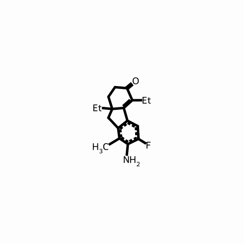 CCC1=C2c3cc(F)c(N)c(C)c3CC2(CC)CCC1=O